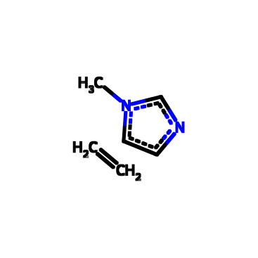 C=C.Cn1ccnc1